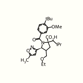 CCOCC1C[C@](CC(C)C)(C(=O)O)N(C(=O)c2ccc(C(C)(C)C)c(OC)c2)[C@@H]1c1cc(C)on1